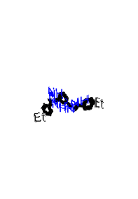 CCc1ccc(C2=CNC(c3cccc(C4NC(c5ccc(CC)cc5)=CN4N)c3)N2)cc1